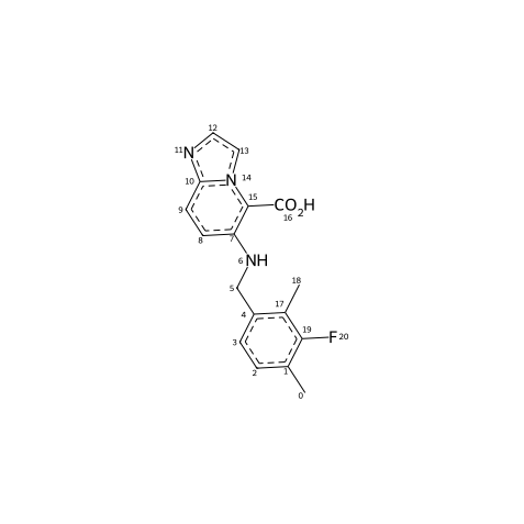 Cc1ccc(CNc2ccc3nccn3c2C(=O)O)c(C)c1F